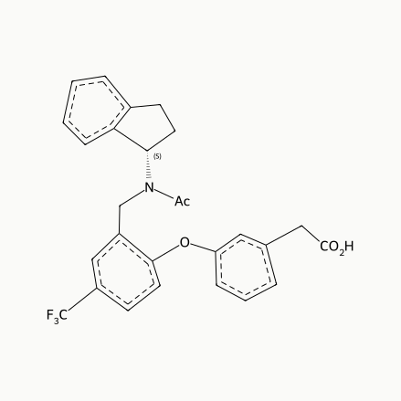 CC(=O)N(Cc1cc(C(F)(F)F)ccc1Oc1cccc(CC(=O)O)c1)[C@H]1CCc2ccccc21